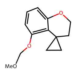 COCOc1cccc2c1C1(CCO2)CC1